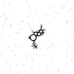 CC1(C)CCC2C(=O)C[C@@H]3[C@@]4(C)C=C(C#N)C(=O)C(C)(C)[C@@H]4CC[C@@]3(C)[C@]2(C)CC[C@@](C)(CNC(=O)C(F)(F)F)CC1